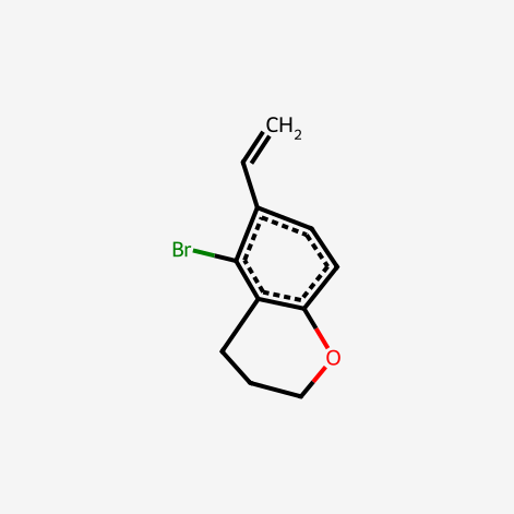 C=Cc1ccc2c(c1Br)CCCO2